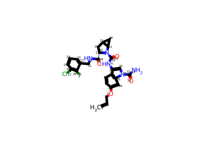 C=CCOc1ccc2c(NC(=O)N3C4CC4C[C@H]3C(=O)NCc3cccc(Cl)c3F)cn(C(N)=O)c2c1